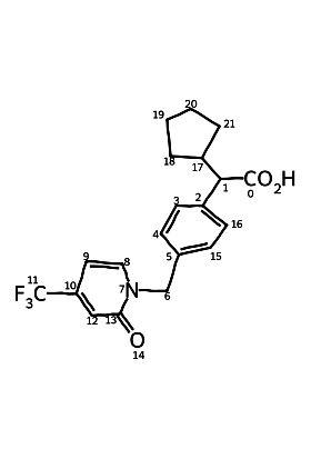 O=C(O)C(c1ccc(Cn2ccc(C(F)(F)F)cc2=O)cc1)C1CCCC1